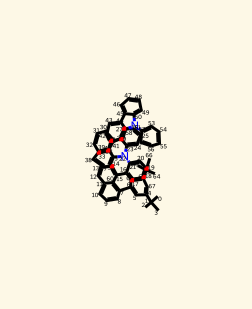 CC(C)(C)c1cc(-c2cccc3cccc(-c4ccccc4N(c4ccccc4-c4ccccc4)c4ccccc4-c4ccc5c6ccccc6n(-c6ccccc6)c5c4)c23)cc(C(C)(C)C)c1